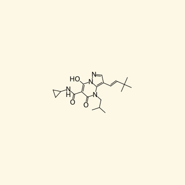 CC(C)Cn1c(=O)c(C(=O)NC2CC2)c(O)n2ncc(C=CC(C)(C)C)c12